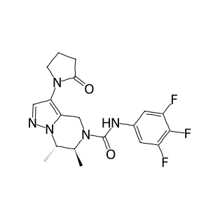 C[C@H]1[C@H](C)n2ncc(N3CCCC3=O)c2CN1C(=O)Nc1cc(F)c(F)c(F)c1